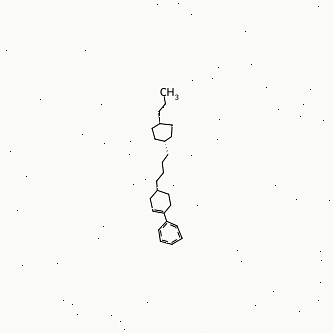 CCC[C@H]1CC[C@H](CCCCC2CC=C(c3ccccc3)CC2)CC1